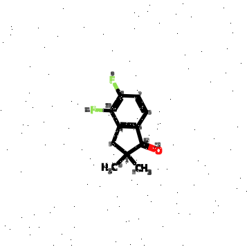 CC1(C)Cc2c(ccc(F)c2F)C1=O